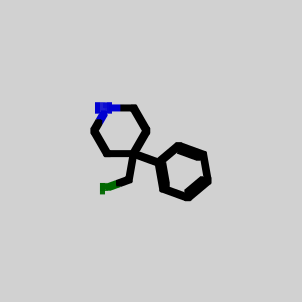 FCC1(c2ccccc2)CCNCC1